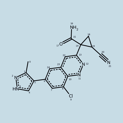 Cc1n[nH]cc1-c1cc(Cl)c2nnc(C3(C(N)=O)CC3C#N)cc2c1